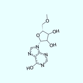 COC[C@H]1O[C@@H](n2cnc3c(O)ncnc32)C(O)C1O